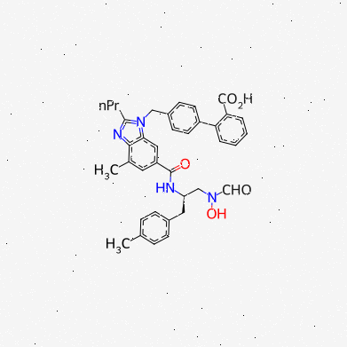 CCCc1nc2c(C)cc(C(=O)N[C@H](Cc3ccc(C)cc3)CN(O)C=O)cc2n1Cc1ccc(-c2ccccc2C(=O)O)cc1